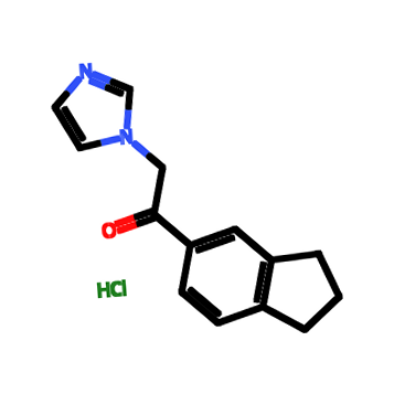 Cl.O=C(Cn1ccnc1)c1ccc2c(c1)CCC2